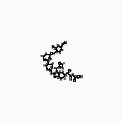 N#Cc1ccc(COc2ccnc(C3CCN(Cc4nc5ccc(C(=O)NCC(=O)O)cc5n4C[C@@H]4CCO4)CC3)n2)c(F)c1